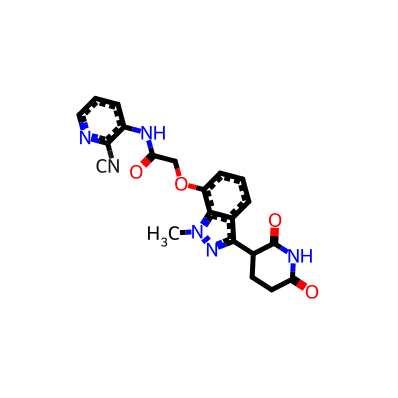 Cn1nc(C2CCC(=O)NC2=O)c2cccc(OCC(=O)Nc3cccnc3C#N)c21